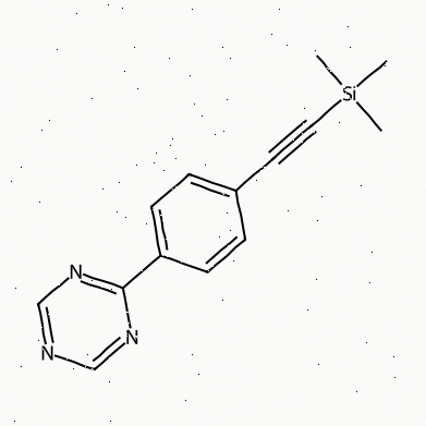 C[Si](C)(C)C#Cc1ccc(-c2ncncn2)cc1